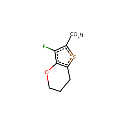 O=C(O)c1sc2c(c1F)OCCC2